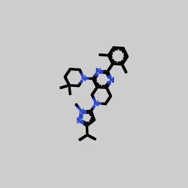 Cc1cccc(C)c1-c1nc2c(c(N3CCCC(C)(C)C3)n1)CN(c1cc(C(C)C)nn1C)CC2